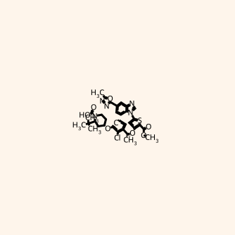 COC(=O)c1sc(-n2cnc3cc(-c4nnc(C)o4)ccc32)cc1O[C@H](C)c1cccc(OC2CCN(C(=O)O)C(C(C)(C)C)C2)c1Cl